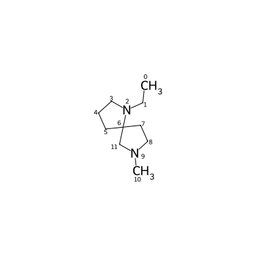 CCN1CCCC12CCN(C)C2